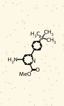 COC(=O)c1cc(N)cc(-c2ccc([Si](C)(C)C)cc2)n1